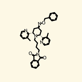 Cc1cccnc1[C@H]1CC(=NOCc2ccccc2)C[C@@H](c2ncccc2C)N1CCCCN1C(=O)c2ccccc2C1=O